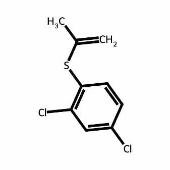 C=C(C)Sc1ccc(Cl)cc1Cl